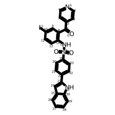 O=C(c1ccncc1)c1cc(I)ccc1NS(=O)(=O)c1ccc(-c2cc3ccccc3[nH]2)cc1